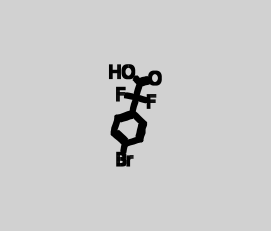 O=C(O)C(F)(F)c1ccc(Br)cc1